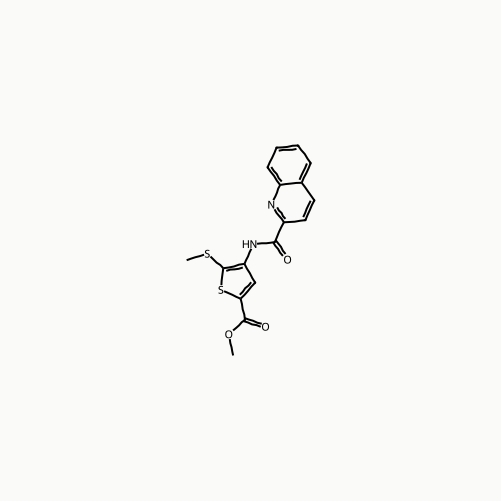 COC(=O)c1cc(NC(=O)c2ccc3ccccc3n2)c(SC)s1